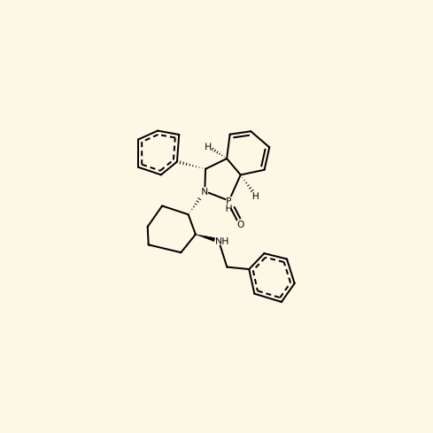 O=[PH]1[C@@H]2C=CC=C[C@@H]2[C@@H](c2ccccc2)N1[C@H]1CCCC[C@@H]1NCc1ccccc1